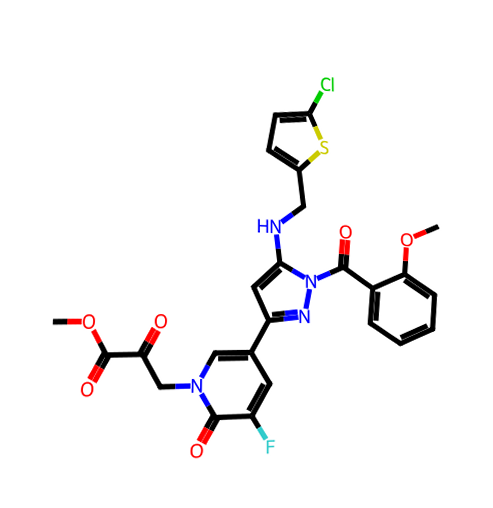 COC(=O)C(=O)Cn1cc(-c2cc(NCc3ccc(Cl)s3)n(C(=O)c3ccccc3OC)n2)cc(F)c1=O